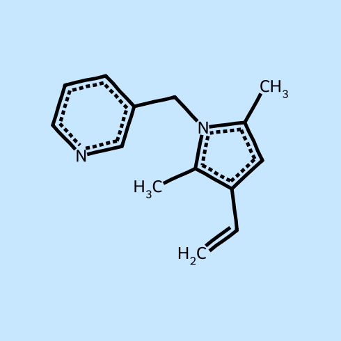 C=Cc1cc(C)n(Cc2cccnc2)c1C